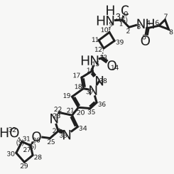 C[C@@H](CNC(=O)C1CC1)N[C@H]1C[C@@H](C(=O)Nc2cc3cc(-c4cnc(CO[C@H]5CCC[C@@H]5O)nc4)ccn3n2)C1